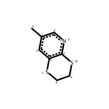 Cc1cnc2c(c1)SCCS2